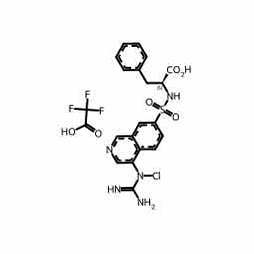 N=C(N)N(Cl)c1cncc2cc(S(=O)(=O)N[C@@H](Cc3ccccc3)C(=O)O)ccc12.O=C(O)C(F)(F)F